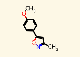 COc1ccc(-c2cc(C)no2)cc1